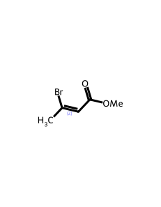 COC(=O)/C=C(/C)Br